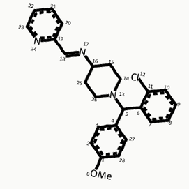 COc1ccc(C(c2ccccc2Cl)N2CCC(/N=C/c3ccccn3)CC2)cc1